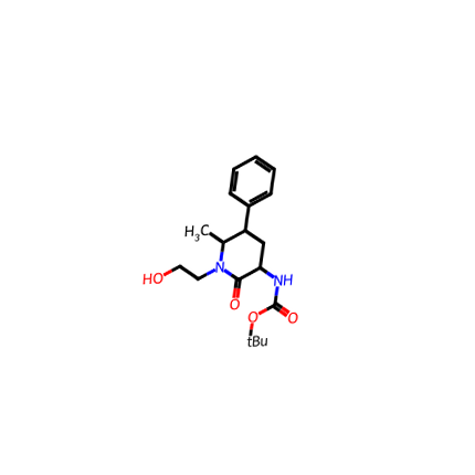 CC1C(c2ccccc2)CC(NC(=O)OC(C)(C)C)C(=O)N1CCO